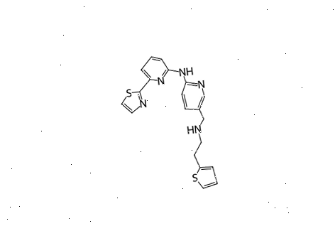 c1cc(Nc2ccc(CNCCc3cccs3)cn2)nc(-c2nccs2)c1